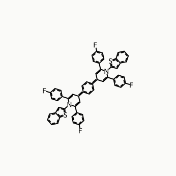 Fc1ccc(C2=CC(=c3ccc(=C4C=C(c5ccc(F)cc5)N(c5cc6ccccc6s5)C(c5ccc(F)cc5)=C4)cc3)C=C(c3ccc(F)cc3)N2c2cc3ccccc3s2)cc1